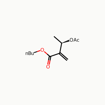 C=C(C(=O)OCCCC)[C@@H](C)OC(C)=O